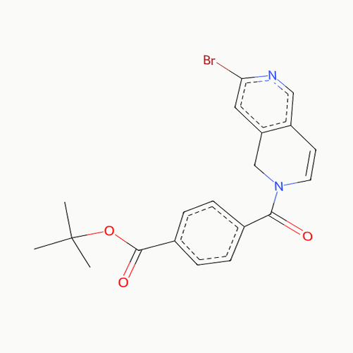 CC(C)(C)OC(=O)c1ccc(C(=O)N2C=Cc3cnc(Br)cc3C2)cc1